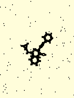 O=c1c(C#Cc2ccccc2)nn(CC2CC2)c2ccccc12